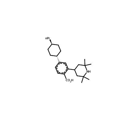 CCC[C@H]1CC[C@H](c2ccc(C(=O)O)c(C3CC(C)(C)NC(C)(C)C3)c2)CC1